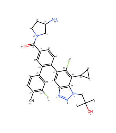 CC(C)(O)Cn1nnc2cc(-c3ccc(C(=O)N4CCC(N)C4)cc3-c3ccc(C#N)c(F)c3)c(F)c(C3CC3)c21